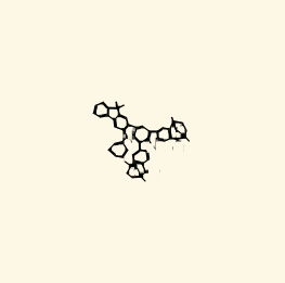 CC12CCC(C)(CC1)c1cc3c4cc5c6cc7c(cc6n(-c6ccccc6)c5c5c6cc8c(cc6n(c3cc1C2=O)c45)C(=O)C1(C)CCC8(C)CC1)-c1ccccc1C7(C)C